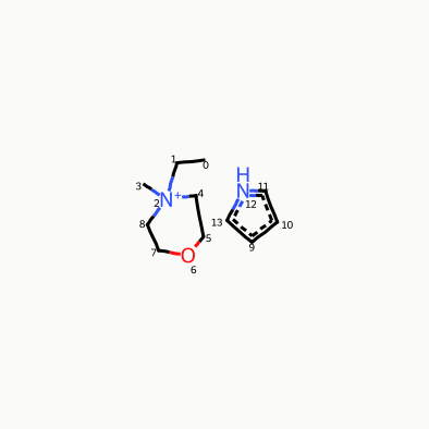 CC[N+]1(C)CCOCC1.c1cc[nH]c1